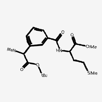 CNC(C(=O)OC(C)(C)C)c1cccc(C(=O)NC(CCSC)C(=O)OC)c1